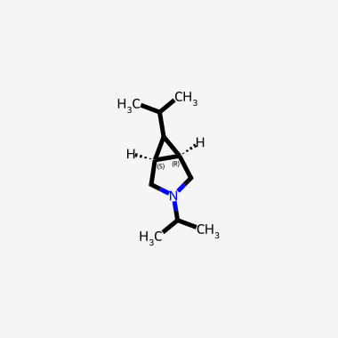 CC(C)C1[C@H]2CN(C(C)C)C[C@@H]12